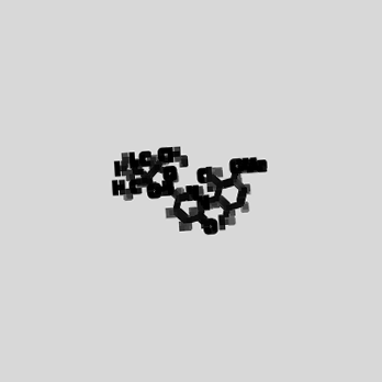 COc1ccc(F)c(-n2nc(B3OC(C)(C)C(C)(C)O3)ccc2=O)c1Cl